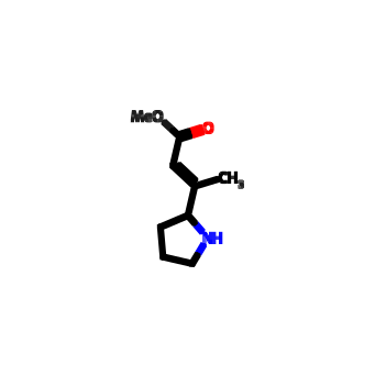 COC(=O)C=C(C)C1CCCN1